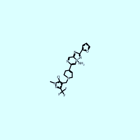 Cn1nc(C(F)(F)F)c(CN2CC=C(C3=C[N+]4(N)N=C(c5ccco5)N=C4C=N3)CC2)c1Cl